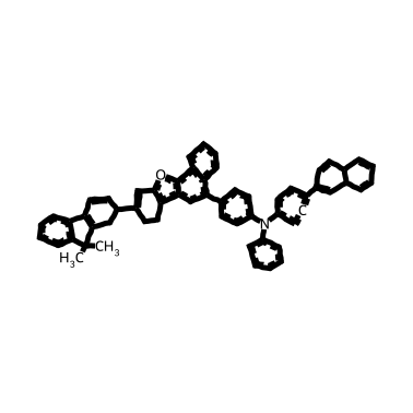 CC1(C)C2=C(C=CC(C3=Cc4oc5c(cc(-c6ccc(N(c7ccccc7)c7ccc(C8=CC9C=CC=CC9C=C8)cc7)cc6)c6ccccc65)c4CC3)C2)c2ccccc21